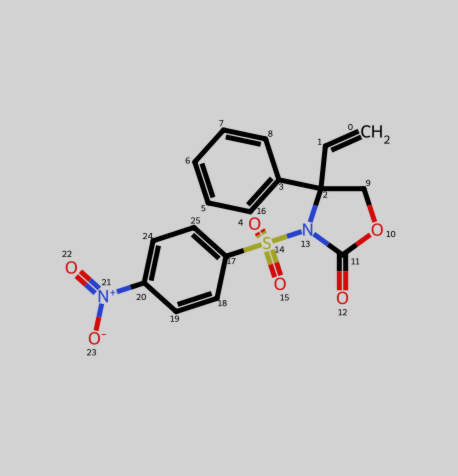 C=CC1(c2ccccc2)COC(=O)N1S(=O)(=O)c1ccc([N+](=O)[O-])cc1